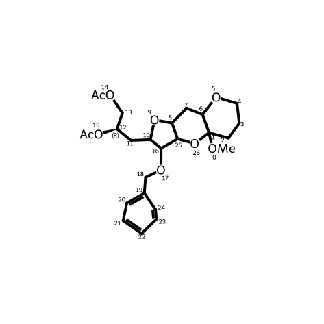 COC12CCCOC1CC1OC(C[C@H](COC(C)=O)OC(C)=O)C(OCc3ccccc3)C1O2